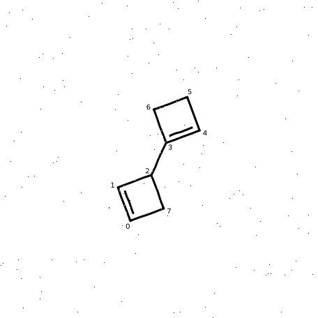 C1=CC(C2=CCC2)C1